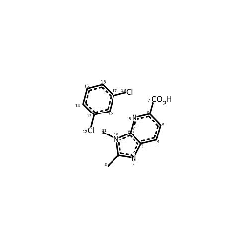 Cc1nc2ccc(C(=O)O)nc2n1C.Clc1cccc(Cl)c1